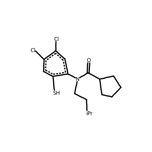 CC(C)CCN(C(=O)C1CCCC1)c1cc(Cl)c(Cl)cc1S